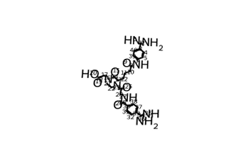 N=C(N)c1ccc(NC(=O)CCCC2C(=O)N(CC(=O)O)CCN2C(=O)CNC(=O)c2ccc(C(=N)N)cc2)cc1